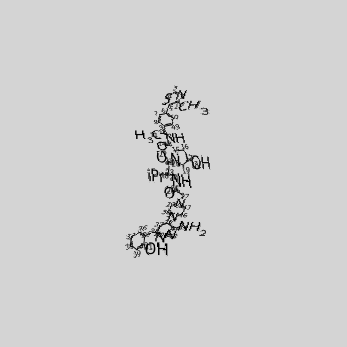 Cc1ncsc1-c1ccc(C(C)NC(=O)[C@@H]2C[C@@H](O)CN2C(=O)C(NC(=O)CN2CCN(c3cc(-c4ccccc4O)nnc3N)CC2)C(C)C)cc1